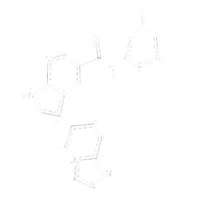 O=C(Nc1cncc(F)c1)c1cnc2[nH]cc(-c3ccc4nccn4c3)c2c1